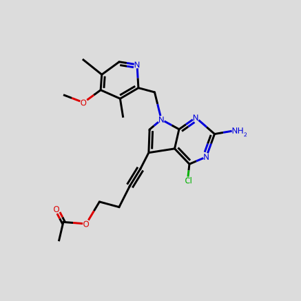 COc1c(C)cnc(Cn2cc(C#CCCOC(C)=O)c3c(Cl)nc(N)nc32)c1C